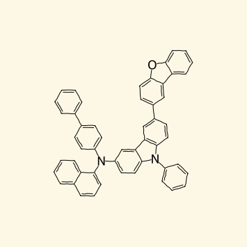 c1ccc(-c2ccc(N(c3ccc4c(c3)c3cc(-c5ccc6oc7ccccc7c6c5)ccc3n4-c3ccccc3)c3cccc4ccccc34)cc2)cc1